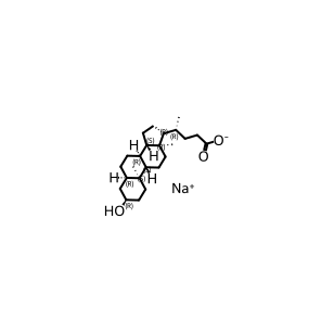 C[C@H](CCC(=O)[O-])[C@H]1CC[C@H]2[C@@H]3CC[C@@H]4C[C@H](O)CC[C@]4(C)[C@H]3CC[C@]12C.[Na+]